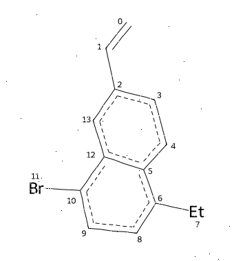 C=Cc1ccc2c(CC)ccc(Br)c2c1